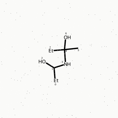 CCC(O)NC(C)(O)CC